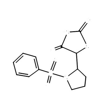 O=C1NC(=O)C(C2CCCN2S(=O)(=O)c2ccccc2)N1